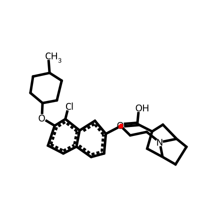 CC1CCC(Oc2ccc3ccc(CCCN4C5CCC4CC(C(=O)O)C5)cc3c2Cl)CC1